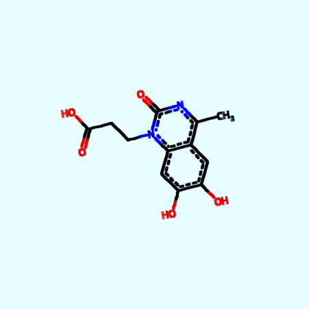 Cc1nc(=O)n(CCC(=O)O)c2cc(O)c(O)cc12